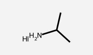 CC(C)N.I